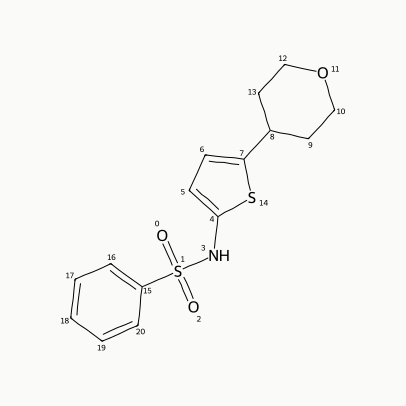 O=S(=O)(Nc1ccc(C2CCOCC2)s1)c1ccccc1